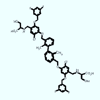 Cc1c(COc2cc(OCc3cc(F)cc(F)c3)c(CNC(CO)C(=O)O)cc2Cl)cccc1-c1cccc(COc2cc(OCc3cc(F)cc(F)c3)c(CNC(CO)C(=O)O)cc2Cl)c1C